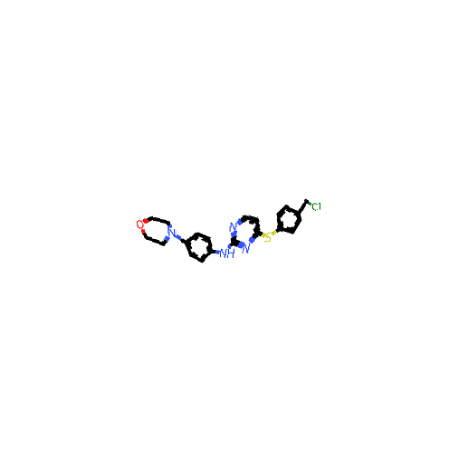 ClCc1ccc(Sc2ccnc(Nc3ccc(N4CCOCC4)cc3)n2)cc1